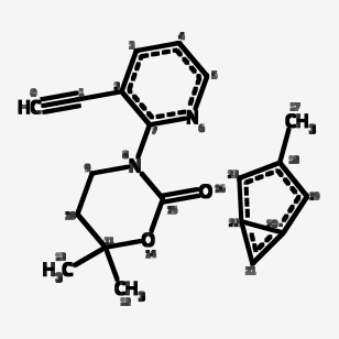 C#Cc1cccnc1N1CCC(C)(C)OC1=O.Cc1cc2cc-2c1